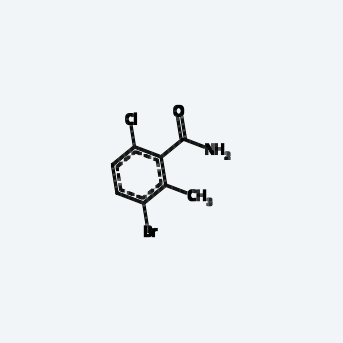 Cc1c(Br)ccc(Cl)c1C(N)=O